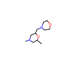 CC1CN(C)CC(CN2CCOCC2)O1